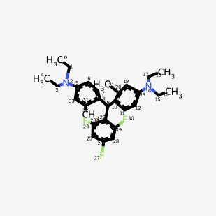 CCN(CC)c1ccc(C(c2ccc(N(CC)CC)cc2C)c2c(F)cc(F)cc2F)c(C)c1